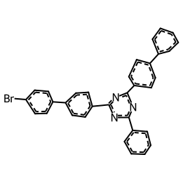 Brc1ccc(-c2ccc(-c3nc(-c4ccccc4)nc(-c4ccc(-c5ccccc5)cc4)n3)cc2)cc1